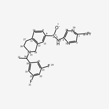 CCCc1cnc(N[S+]([O-])c2ccc3c(c2)CN(C(C)c2cc(F)cc(F)c2)CC3)cn1